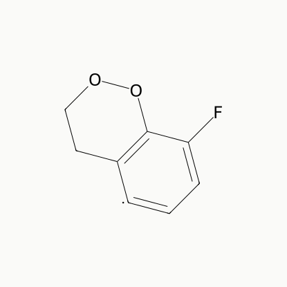 Fc1cc[c]c2c1OOCC2